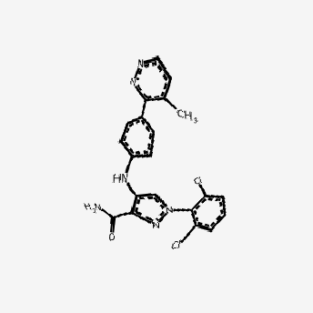 Cc1ccnnc1-c1ccc(Nc2cn(-c3c(Cl)cccc3Cl)nc2C(N)=O)cc1